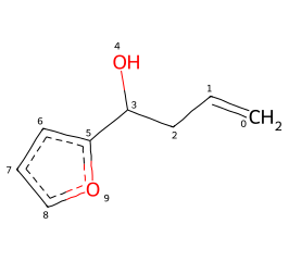 C=CCC(O)c1ccco1